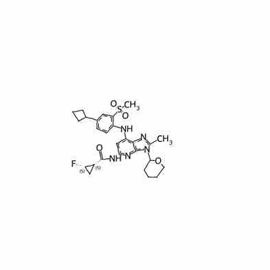 Cc1nc2c(Nc3ccc(C4CCC4)cc3S(C)(=O)=O)cc(NC(=O)[C@@H]3C[C@@H]3F)nc2n1C1CCCCO1